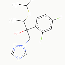 COC(C)SC(C)C(O)(Cn1cncn1)c1ccc(F)cc1F